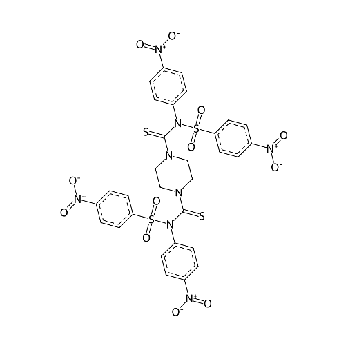 O=[N+]([O-])c1ccc(N(C(=S)N2CCN(C(=S)N(c3ccc([N+](=O)[O-])cc3)S(=O)(=O)c3ccc([N+](=O)[O-])cc3)CC2)S(=O)(=O)c2ccc([N+](=O)[O-])cc2)cc1